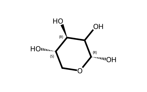 OC1[C@H](O)OC[C@H](O)[C@H]1O